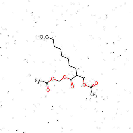 O=C(O)CCCCCCCC(COC(=O)C(F)(F)F)C(=O)OCOC(=O)C(F)(F)F